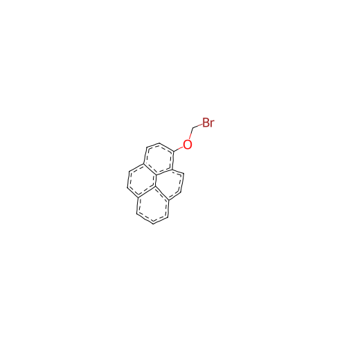 BrCOc1ccc2ccc3cccc4ccc1c2c34